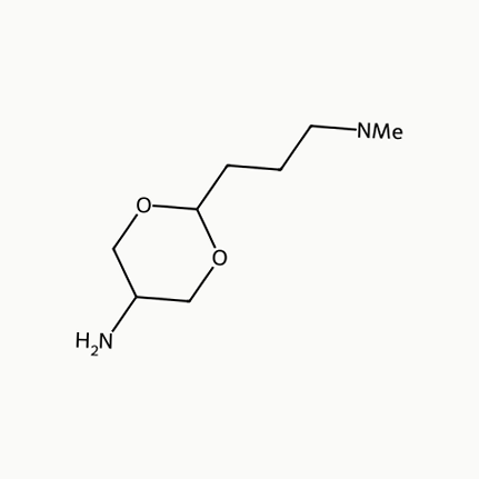 CNCCCC1OCC(N)CO1